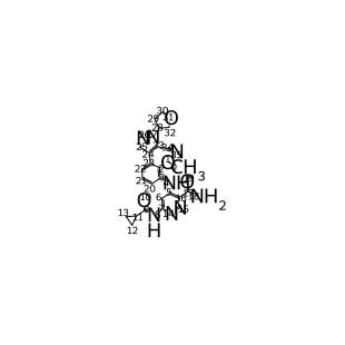 COc1c(Nc2cc(NC(=O)C3CC3)nnc2C(N)=O)cccc1-c1cnn(C2CCOC2)c1C#N